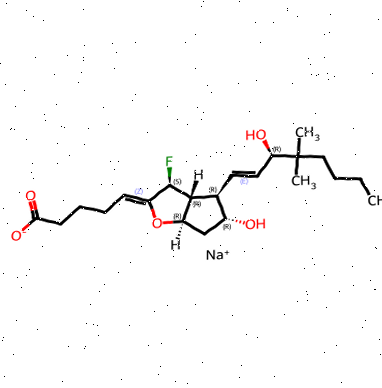 CCCCC(C)(C)[C@H](O)/C=C/[C@@H]1[C@H]2[C@H](F)/C(=C/CCCC(=O)[O-])O[C@@H]2C[C@H]1O.[Na+]